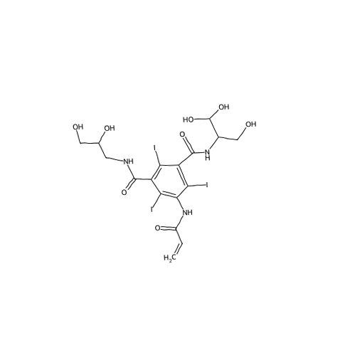 C=CC(=O)Nc1c(I)c(C(=O)NCC(O)CO)c(I)c(C(=O)NC(CO)C(O)O)c1I